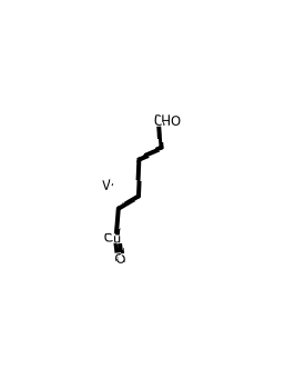 O=CCCC[CH2][Cu]=[O].[V]